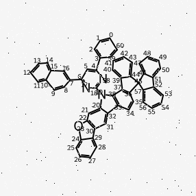 c1ccc(-c2cc(-c3ccc4ccccc4c3)nc(-n3c4cc5oc6ccccc6c5cc4c4ccc5c(c43)-c3ccccc3C53c4ccccc4-c4ccccc43)n2)cc1